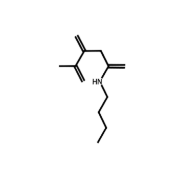 C=C(CC(=C)C(=C)C)NCCCC